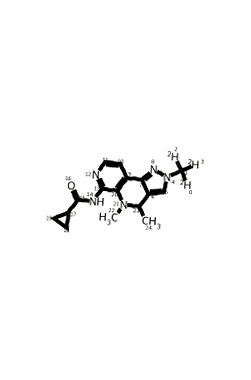 [2H]C([2H])([2H])n1cc2c(n1)-c1ccnc(NC(=O)C3CC3)c1N(C)C2C